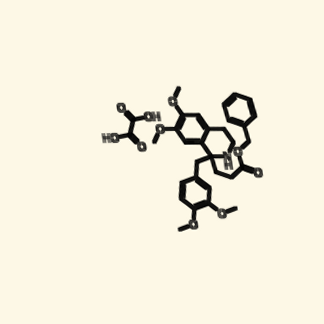 COc1ccc(CC2(CCC(=O)OCc3ccccc3)NCCc3cc(OC)c(OC)cc32)cc1OC.O=C(O)C(=O)O